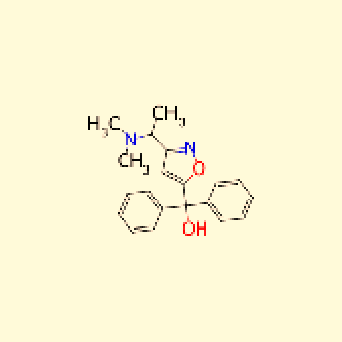 CC(c1cc(C(O)(c2ccccc2)c2ccccc2)on1)N(C)C